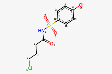 O=C(CCCCl)NS(=O)(=O)c1ccc(O)cc1